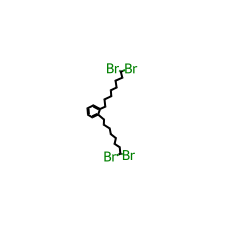 BrC(Br)CCCCCCCc1ccccc1CCCCCCCC(Br)Br